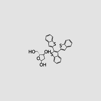 OC[C@H]1OC(O)C[C@@H]1O.c1ccc2sc(-c3sc4ccccc4c3-c3cc4ccccc4s3)cc2c1